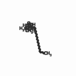 CCC/C=C\CCCCCCCCCCCCCC/C=C\CCC(O)(C[N+](C)(C)C)P(=O)(O)O